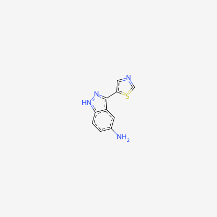 Nc1ccc2[nH]nc(-c3cncs3)c2c1